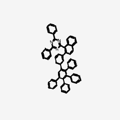 C1=CC(c2ccc3ccccc3c2-c2nc(-c3ccccc3)nc(-c3ccccc3)n2)=CC(c2cc(-c3ccccc3)c(-c3ccccc3)c(-c3ccccc3)c2-c2ccccc2)C1